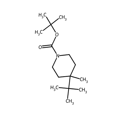 CC(C)(C)OC(=O)N1CCC(C)(C(C)(C)C)CC1